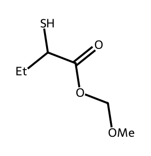 CCC(S)C(=O)OCOC